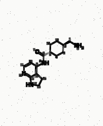 NC[C@H]1CC[C@H](C(=O)Nc2ccnc3c2CCN3)CC1